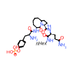 CCCCCCNC(=O)[C@H](CCC(N)=O)NC(=O)[C@@H]1CCC2CCCC[C@H](NC(=O)[C@@H](N)Cc3ccc(OP(=O)(O)O)cc3)C(=O)N21